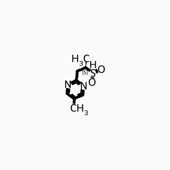 Cc1cnc(C[C@H](C)[SH](=O)=O)nc1